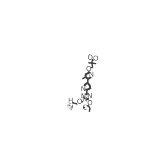 CCC(CC)Oc1nc(-c2ccc(-c3cnc(OCC(C)(C)C(=O)OC)cc3C)cn2)nn1COCC[SiH](C)C